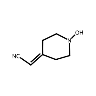 N#CC=C1CCN(O)CC1